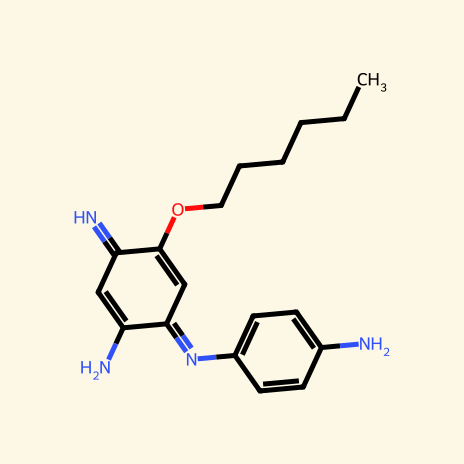 CCCCCCOC1=CC(=Nc2ccc(N)cc2)C(N)=CC1=N